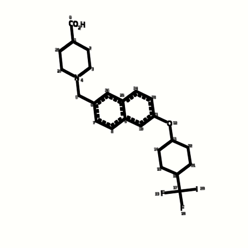 O=C(O)C1CCN(Cc2ccc3cc(OC4CCC(C(F)(F)I)CC4)ccc3c2)CC1